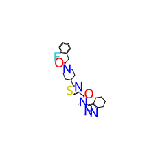 CN(C(=O)c1csc(C2CCN(C(=O)Cc3ccccc3F)CC2)n1)c1c2c(nn1C)CCCC2